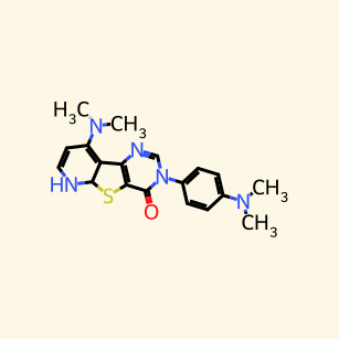 CN(C)C1=C2c3ncn(-c4ccc(N(C)C)cc4)c(=O)c3SC2NC=C1